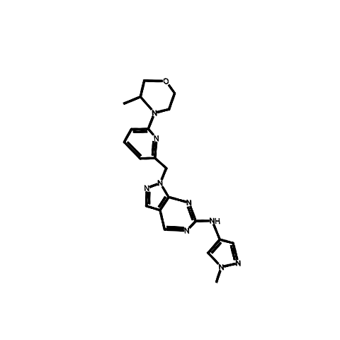 CC1COCCN1c1cccc(Cn2ncc3cnc(Nc4cnn(C)c4)nc32)n1